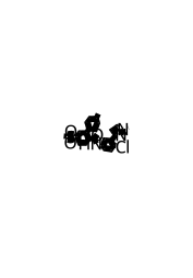 Cc1ccc(-c2cc(S(C)(=O)=O)ccc2C(=O)Nc2ccc(Cl)c(-c3ccn(C)n3)c2)cc1